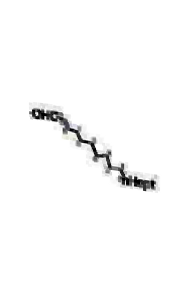 CCCCCCCCCCCCCC/C=C/[C]=O